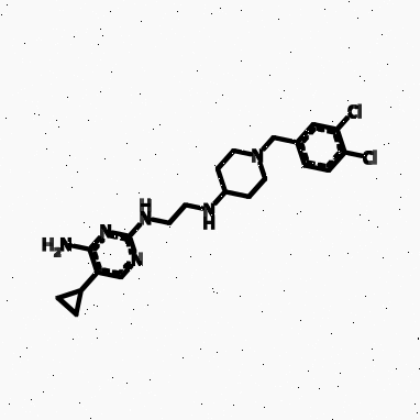 Nc1nc(NCCNC2CCN(Cc3ccc(Cl)c(Cl)c3)CC2)ncc1C1CC1